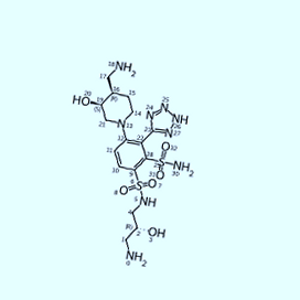 NC[C@@H](O)CNS(=O)(=O)c1ccc(N2CC[C@H](CN)[C@H](O)C2)c(-c2nn[nH]n2)c1S(N)(=O)=O